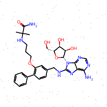 CC(C)(NCCCOc1cc(CNc2nc3c(N)ncnc3n2[C@@H]2O[C@H](CO)[C@@H](O)[C@H]2O)ccc1-c1ccccc1)C(N)=O